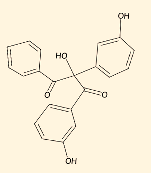 O=C(c1ccccc1)C(O)(C(=O)c1cccc(O)c1)c1cccc(O)c1